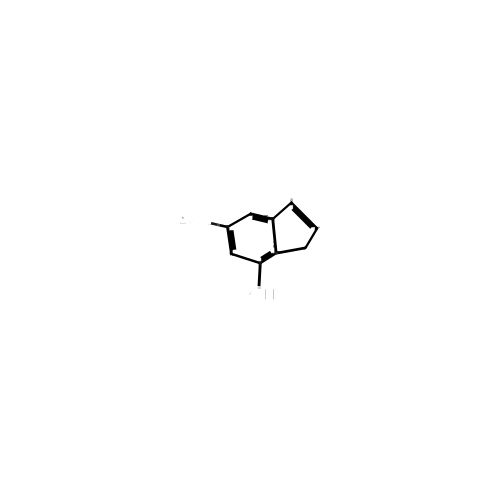 CC(=O)Oc1cc(C)c2c(c1)C=CC2